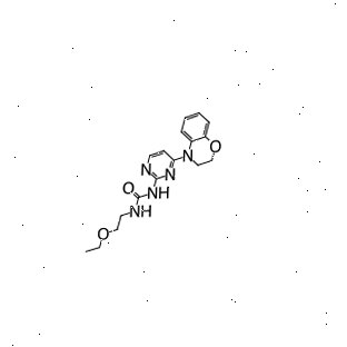 CCOCCNC(=O)Nc1nccc(N2CCOc3ccccc32)n1